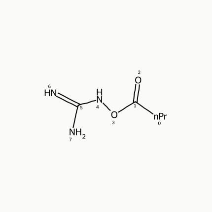 CCCC(=O)ONC(=N)N